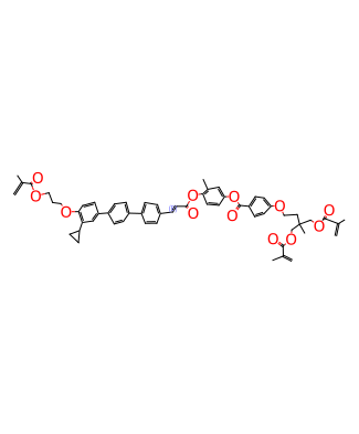 C=C(C)C(=O)OCCCOc1ccc(-c2ccc(-c3ccc(/C=C/C(=O)Oc4ccc(OC(=O)c5ccc(OCCC(C)(COC(=O)C(=C)C)COC(=O)C(=C)C)cc5)cc4C)cc3)cc2)cc1C1CC1